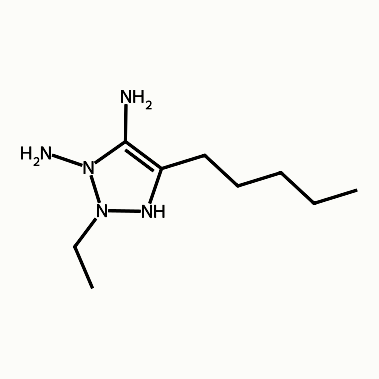 CCCCCC1=C(N)N(N)N(CC)N1